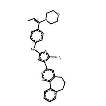 C/C=C(\c1ccc(Nc2nc(N)n(-c3cc4c(nn3)-c3ccccc3CCC4)n2)cc1)N1CCOCC1